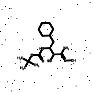 CC(C)(C)OC(=O)N[C@@H](CC1CCCCC1)C(O)/C(N)=N/O